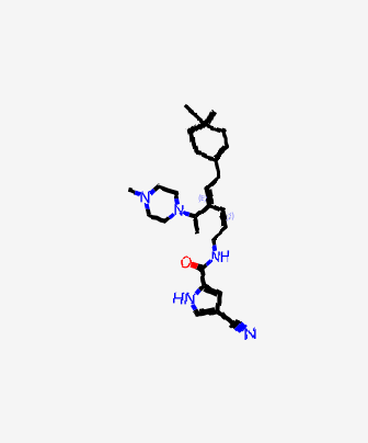 CC(C(/C=C\CNC(=O)c1cc(C#N)c[nH]1)=C/CC1=CCC(C)(C)CC1)N1CCN(C)CC1